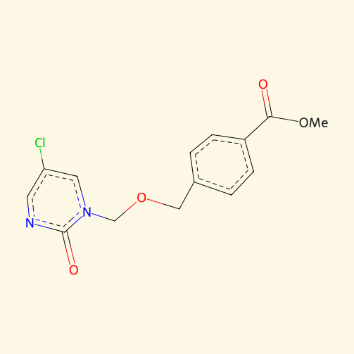 COC(=O)c1ccc(COCn2cc(Cl)cnc2=O)cc1